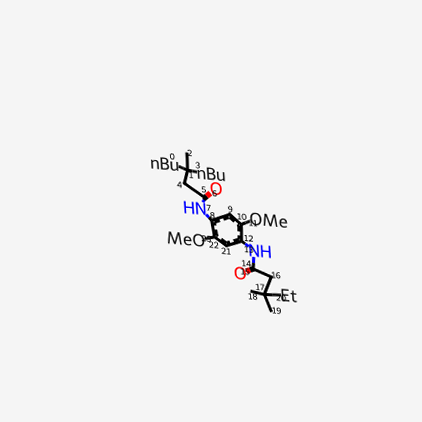 CCCCC(C)(CCCC)CC(=O)Nc1cc(OC)c(NC(=O)CC(C)(C)CC)cc1OC